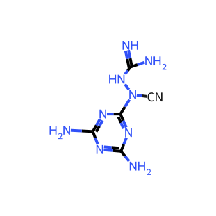 N#CN(NC(=N)N)c1nc(N)nc(N)n1